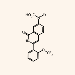 CCN(C(=O)O)c1ccc2cc(-c3ccccc3OC(F)(F)F)[nH]c(=O)c2c1